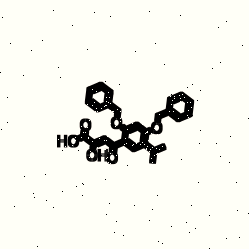 CC(C)c1cc(C(=O)C=C(O)C(=O)O)c(OCc2ccccc2)cc1OCc1ccccc1